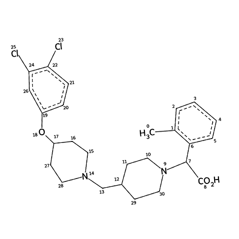 Cc1ccccc1C(C(=O)O)N1CCC(CN2CCC(Oc3ccc(Cl)c(Cl)c3)CC2)CC1